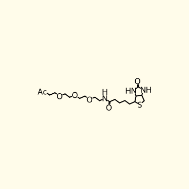 CC(=O)CCOCCOCCOCCNC(=O)CCCCC1SCC2NC(=O)NC21